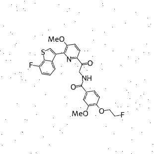 COc1cc(C(=O)NCC(=O)c2ccc(OC)c(-c3csc4c(F)cccc34)n2)ccc1OCCF